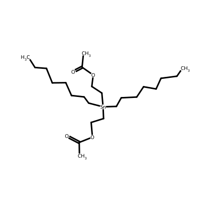 CCCCCCC[CH2][Sn]([CH2]CCCCCCC)([CH2]COC(C)=O)[CH2]COC(C)=O